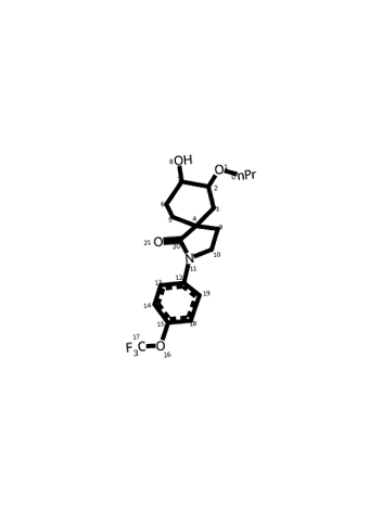 CCCOC1CC2(CCC1O)CCN(c1ccc(OC(F)(F)F)cc1)C2=O